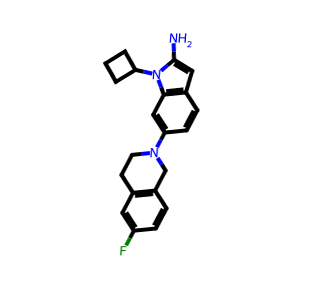 Nc1cc2ccc(N3CCc4cc(F)ccc4C3)cc2n1C1CCC1